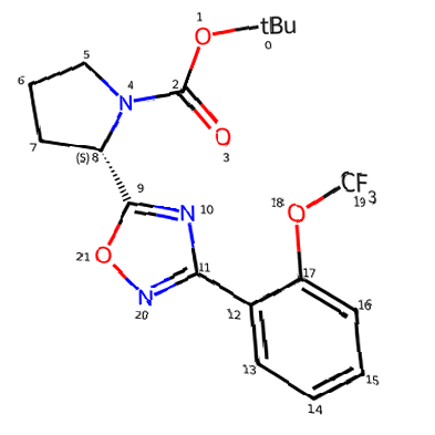 CC(C)(C)OC(=O)N1CCC[C@H]1c1nc(-c2ccccc2OC(F)(F)F)no1